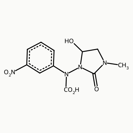 CN1CC(O)N(N(C(=O)O)c2cccc([N+](=O)[O-])c2)C1=O